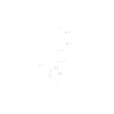 CCCC(=O)OC(=O)c1ccc(-n2nc(C)nc2C)cc1